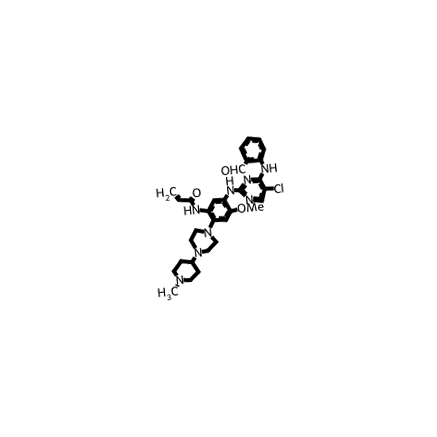 C=CC(=O)Nc1cc(Nc2ncc(Cl)c(Nc3ccccc3C=O)n2)c(OC)cc1N1CCN(C2CCN(C)CC2)CC1